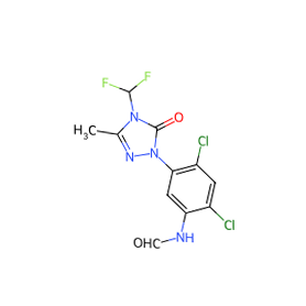 Cc1nn(-c2cc(NC=O)c(Cl)cc2Cl)c(=O)n1C(F)F